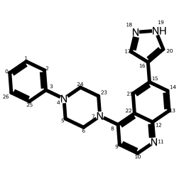 c1ccc(N2CCN(c3ccnc4ccc(-c5cn[nH]c5)cc34)CC2)cc1